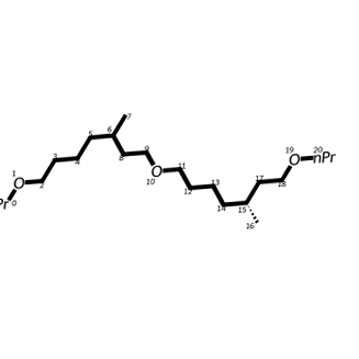 CCCOCCCCC(C)CCOCCCC[C@@H](C)CCOCCC